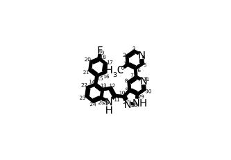 Cc1ccncc1-c1cc2c(-c3cc4c(-c5ccc(F)cc5)cccc4[nH]3)n[nH]c2cn1